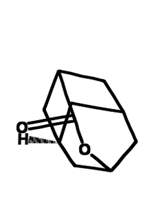 O=C1OC2CC3CC1C[C@@H](C3)C2